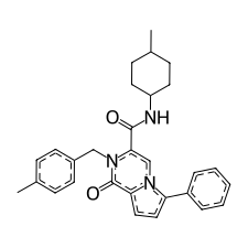 Cc1ccc(Cn2c(C(=O)NC3CCC(C)CC3)cn3c(-c4ccccc4)ccc3c2=O)cc1